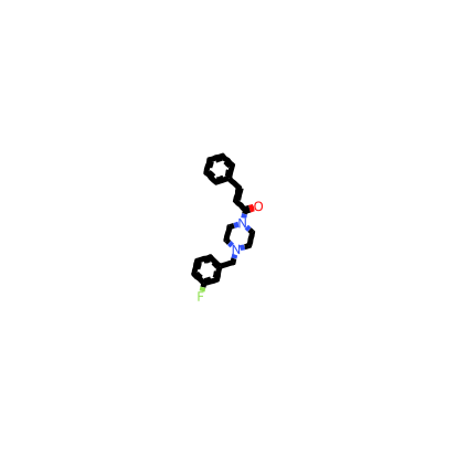 O=C(/C=C/c1ccccc1)N1CCN(Cc2cccc(F)c2)CC1